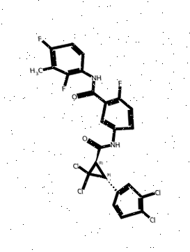 Cc1c(F)ccc(NC(=O)c2cc(NC(=O)[C@H]3[C@H](c4ccc(Cl)c(Cl)c4)C3(Cl)Cl)ccc2F)c1F